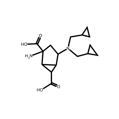 NC1(C(=O)O)CC(N(CC2CC2)CC2CC2)C2C(C(=O)O)C21